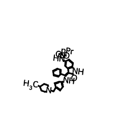 CCCS(=O)(=O)Nc1ccc2c(c1)/C(=C(/Nc1ccc(CN3CCC(C)CC3)cc1)c1ccccc1)C(=O)N2